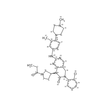 CCC(=O)N1CC[C@H](N2C(=O)N(c3ccccc3Cl)Cc3cnc(Nc4ccc(N5CCN(C)CC5)c(C)c4)nc32)C1